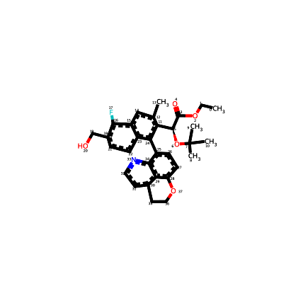 CCOC(=O)[C@@H](OC(C)(C)C)c1c(C)cc2c(F)c(CO)ccc2c1-c1ccc2c3c(ccnc13)CCO2